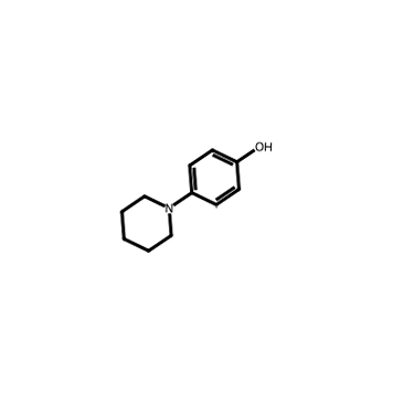 Oc1c[c]c(N2CCCCC2)cc1